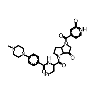 CC(C)CC(NC(=O)c1ccc(N2CCN(C)CC2)cc1)C(=O)N1CCC2C1C(=O)CN2C(=O)c1cc[nH]c(=O)c1